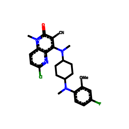 COc1cc(F)ccc1N(C)C1CCC(N(C)c2c(C#N)c(=O)n(C)c3ccc(Cl)nc23)CC1